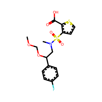 COCOC(CN(C)S(=O)(=O)c1ccsc1C(=O)O)c1ccc(F)cc1